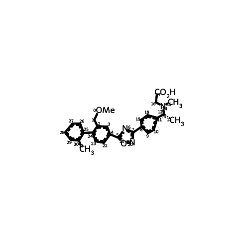 COCc1cc(-c2nc(-c3ccc([C@@H](C)N(C)CC(=O)O)cc3)no2)ccc1-c1ccccc1C